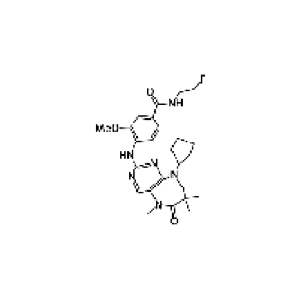 COc1cc(C(=O)NCCF)ccc1Nc1ncc2c(n1)N(C1CCCC1)CC(C)(C)C(=O)N2C